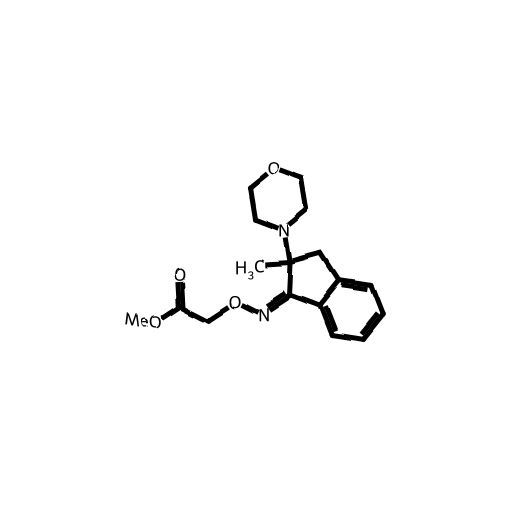 COC(=O)CON=C1c2ccccc2CC1(C)N1CCOCC1